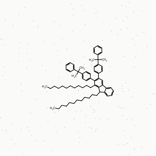 CCCCCCCCCCCCc1c(-c2ccc(C(C)(C)c3ccccc3)cc2)c(-c2ccc(C(C)(C)c3ccccc3)cc2)cc2c1C(CCCCCCCCCCCC)c1ccccc1-2